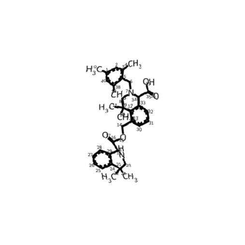 Cc1cc(C)c(CN2CC(C)(C)c3c(COC(=O)C4NCC(C)(C)c5ccccc54)cccc3C2C(=O)O)c(C)c1